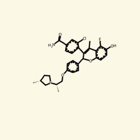 CC1=C(c2ccc(C(N)=O)cc2Cl)C(c2ccc(OC[C@H](C)N3CC[C@@H](C)C3)cc2)Oc2ccc(O)c(F)c21